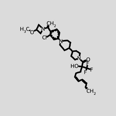 C=C/C=C\C=C/CCC(O)(C(=O)N1CCC(C2CCN(c3ccc(C(=C)N4CC(OC)C4)c(Cl)c3)CC2)CC1)C(F)(F)F